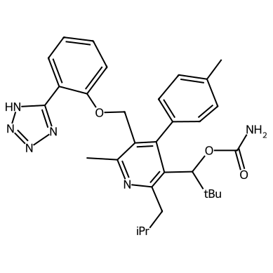 Cc1ccc(-c2c(COc3ccccc3-c3nnn[nH]3)c(C)nc(CC(C)C)c2C(OC(N)=O)C(C)(C)C)cc1